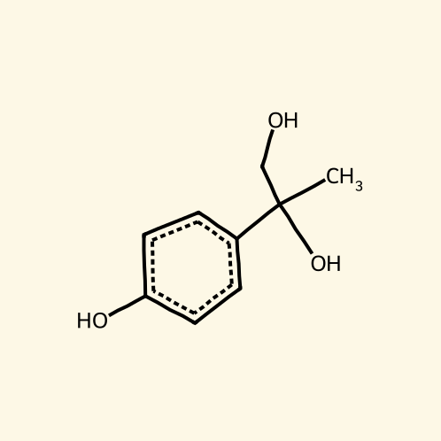 CC(O)(CO)c1ccc(O)cc1